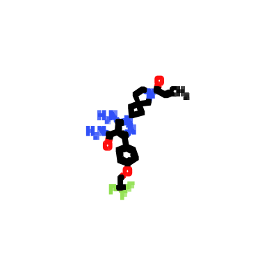 C=CC(=O)N1CC[C@]2(C1)C[C@H](n1nc(-c3ccc(OCC(F)(F)F)cc3)c(C(N)=O)c1N)C2